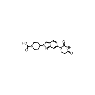 O=C1CCN(c2ccc3cn(C4CCN(C(=O)O)CC4)nc3c2)C(=O)N1